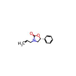 C=CCN1C[C@@H](c2ccccc2)OC1=O